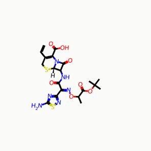 C=CC1=C(C(=O)O)N2C(=O)C(NC(=O)C(=NOC(C)C(=O)OC(C)(C)C)c3nsc(N)n3)[C@@H]2SC1